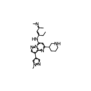 CC/C(=C\C(C)=N/C)Nc1cc(C2CCCNC2)nc2c(-c3cnn(C)c3)cnn12